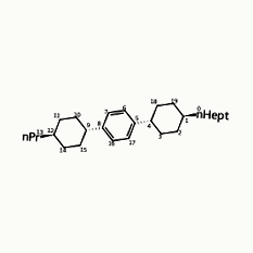 CCCCCCC[C@H]1CC[C@H](c2ccc([C@H]3CC[C@H](CCC)CC3)cc2)CC1